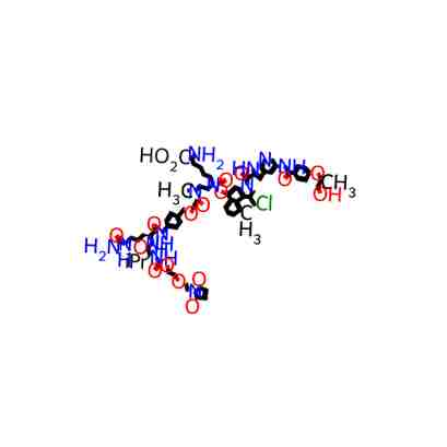 Cc1cccc2c(OC(=O)N(CCCC[C@H](N)C(=O)O)CCN(C)C3OC3OCc3ccc(NC(=O)[C@H](CCCNC(N)=O)NC(=O)[C@@H](NC(=O)OCCOCCN4C(=O)C=CC4=O)C(C)C)cc3)cc3c(c12)C(CCl)CN3C(=O)c1cc2cc(NC(=O)c3ccc(OC(C)CO)cc3)cnc2[nH]1